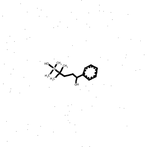 CC(C)(CCC(O)c1ccccc1)[Si](C)(C)O